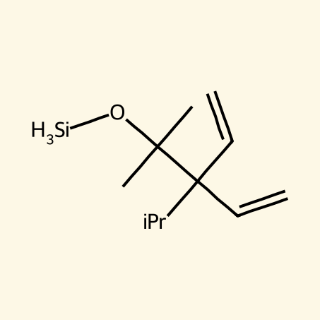 C=CC(C=C)(C(C)C)C(C)(C)O[SiH3]